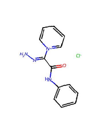 NN=C(C(=O)Nc1ccccc1)[n+]1ccccc1.[Cl-]